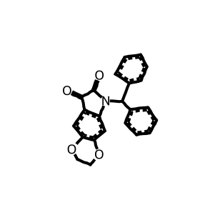 O=C1C(=O)N(C(c2ccccc2)c2ccccc2)c2cc3c(cc21)OCCO3